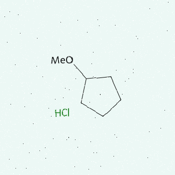 COC1CCCC1.Cl